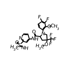 COc1c(N2CC(OC)(C(F)(F)F)CC2C(=O)Nc2ccnc([S@](C)(=N)=O)c2)ccc(F)c1F